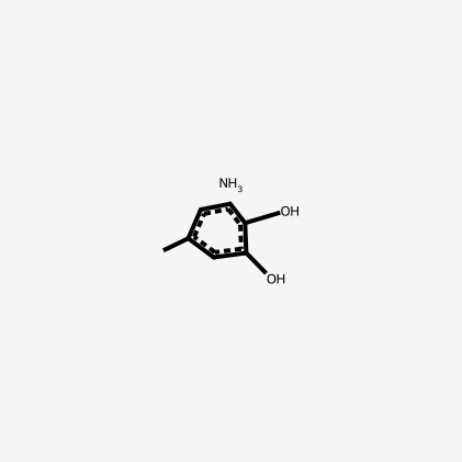 Cc1ccc(O)c(O)c1.N